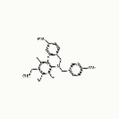 COc1ccc(CN(Cc2ccc(OC)cc2)c2c(F)c(C)c(CC=O)c(Br)c2F)cc1